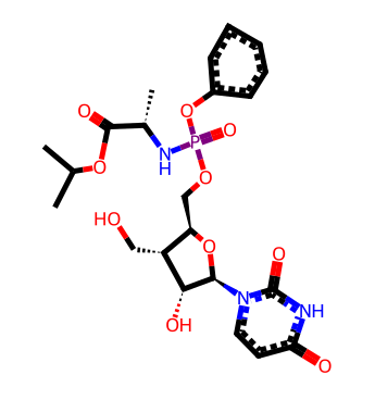 CC(C)OC(=O)[C@H](C)NP(=O)(OC[C@H]1O[C@@H](n2ccc(=O)[nH]c2=O)[C@H](O)[C@@H]1CO)Oc1ccccc1